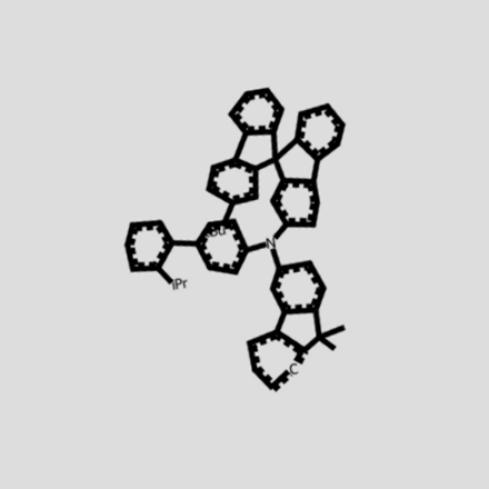 CC(C)c1ccccc1-c1ccc(N(c2ccc3c(c2)-c2ccccc2C3(C)C)c2ccc3c(c2)C2(c4ccccc4-3)c3ccccc3-c3ccc(C(C)(C)C)cc32)cc1